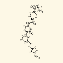 CC(N)(N)C(=O)N1CCN(C(=O)Nc2ccn(-c3cccc(CCN4CC[C@H](N)C4)c3)c(=O)n2)CC1